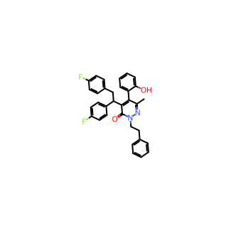 Cc1nn(CCc2ccccc2)c(=O)c(C(Cc2ccc(F)cc2)c2ccc(F)cc2)c1-c1ccccc1O